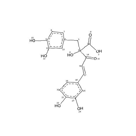 O=C(O)C(O)(Cc1ccc(O)c(O)c1)C(=O)C=Cc1ccc(O)c(O)c1